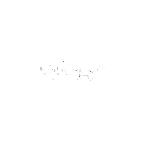 C[C@H]1CNCCN1S(=O)(=O)N1CC[C@H](NC(=O)c2cc(C3CC3)on2)C[C@@H]1C